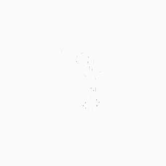 CCNP(=O)(CC)/C(=C\c1ccc(O)c(C)c1)CNc1cnc(C)cn1